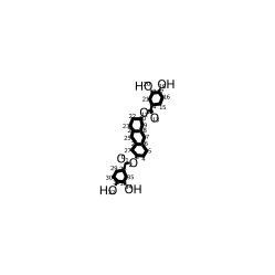 O=C(Oc1ccc2cc3cc(OC(=O)c4ccc(O)c(O)c4)ccc3cc2c1)c1ccc(O)c(O)c1